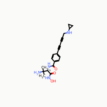 CC(C)(N)[C@H](NC(=O)c1ccc(C#CC#CCNC2CC2)cc1)C(=O)NO